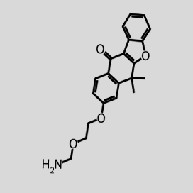 CC1(C)c2cc(OCCOCN)ccc2C(=O)c2c1oc1ccccc21